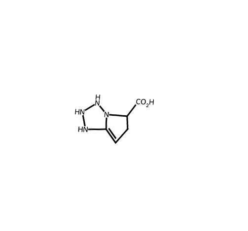 O=C(O)C1CC=C2NNNN21